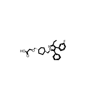 CCc1nn(C[C@H]2CC[C@H](COCC(=O)O)CC2)c(-c2ccccc2)c1-c1cccc(F)c1